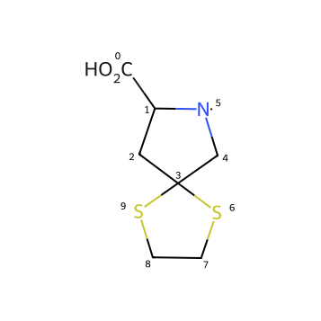 O=C(O)C1CC2(C[N]1)SCCS2